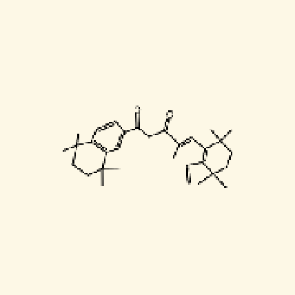 C=CC1=C(/C=C(\C)C(=O)CC(=O)c2ccc3c(c2)C(C)(C)CCC3(C)C)C(C)(C)CCC1(C)C